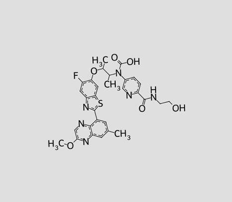 COc1cnc2c(-c3nc4cc(F)c(OC(C)C(C)N(C(=O)O)c5ccc(C(=O)NCCO)nc5)cc4s3)cc(C)cc2n1